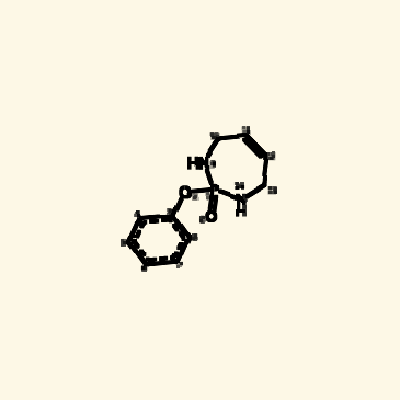 O=P1(Oc2ccccc2)NCC=CCN1